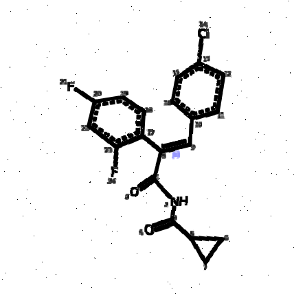 O=C(NC(=O)C1CC1)/C(=C/c1ccc(Cl)cc1)c1ccc(F)cc1F